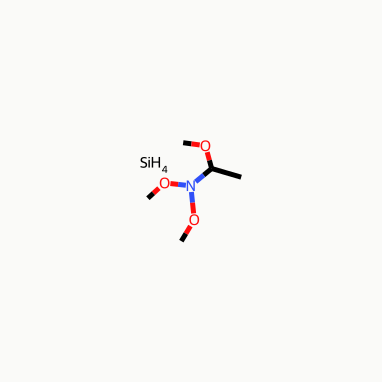 COC(C)N(OC)OC.[SiH4]